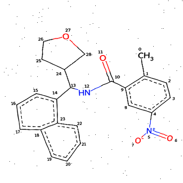 Cc1ccc([N+](=O)[O-])cc1C(=O)NC(c1cccc2ccccc12)C1CCOC1